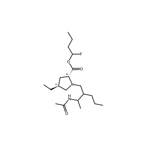 CCCC(F)OC(=O)[C@H]1C[C@H](CC)CN1CC(CCC)C(C)NC(C)=O